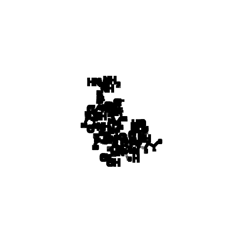 CCCC[C@H](NC(=O)[C@H](C)NC(=O)[C@H](CCC(=O)O)NC(=O)[C@H](Cc1ccc([N+](=O)[O-])cc1)NC(=O)[C@H](CC(C)C)NC(=O)[C@@H](NC(=O)[C@@H](N)CCCNC(=N)N)C(C)C)C(=O)N[C@@H](CO)C(N)=O